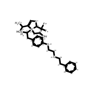 CC(O)C1=CSC(C(F)(F)F)[N+]1(CCO)C(C)Cc1ccc(OCCOCCc2ccccc2)cc1